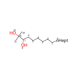 CCCCCCCCCCCCCC(O)C(C)(C)O